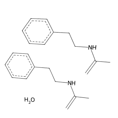 C=C(C)NCCc1ccccc1.C=C(C)NCCc1ccccc1.O